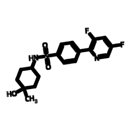 CC1(O)CCC(NS(=O)(=O)c2ccc(-c3ncc(F)cc3F)cc2)CC1